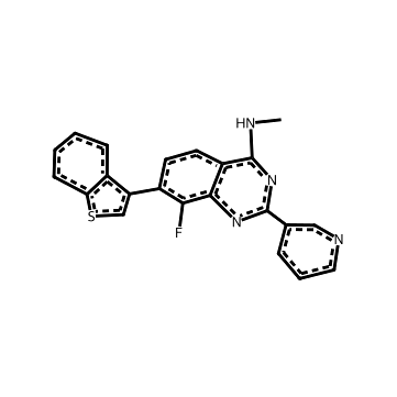 CNc1nc(-c2cccnc2)nc2c(F)c(-c3csc4ccccc34)ccc12